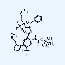 C=CCCC(OCc1ccccc1)(c1nnc(-c2nc(N3CCCC3CC=C)c(C(F)(F)F)cc2NC(=O)OC(C)(C)C)o1)C(F)(F)F